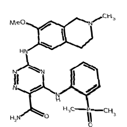 COc1cc2c(cc1Nc1nnc(C(N)=O)c(Nc3ccccc3P(C)(C)=O)n1)CCN(C)C2